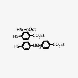 CCCCCCC[CH2][SnH].CCOC(=O)c1ccc(S)cc1.CCOC(=O)c1ccc(S)cc1.CCOC(=O)c1ccc(S)cc1